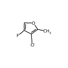 Cc1occ(F)c1Cl